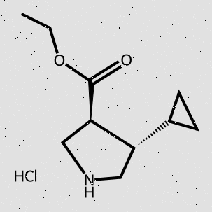 CCOC(=O)[C@@H]1CNC[C@H]1C1CC1.Cl